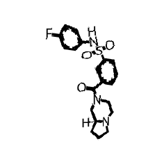 O=C(c1cccc(S(=O)(=O)Nc2ccc(F)cc2)c1)N1CCN2CCC[C@H]2C1